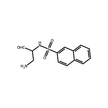 NCC(C=O)NS(=O)(=O)c1ccc2ccccc2c1